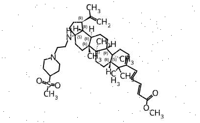 C=C(C)[C@@H]1CC[C@]2(NCCN3CCC(S(C)(=O)=O)CC3)CC[C@]3(C)[C@H](CC[C@@H]4[C@@]5(C)CC=C(C=CC=CC(=O)OC)C(C)(C)[C@@H]5CC[C@]43C)[C@@H]12